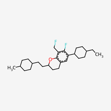 CCC1CCC(c2cc3c(c(CF)c2F)OC(CCC2CCC(C)CC2)CC3)CC1